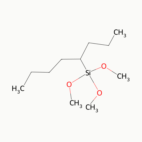 CCCCC(CCC)[Si](OC)(OC)OC